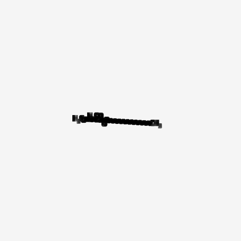 CCCCCCCCCCCCCCCCCCCCCCOC(=O)CCN(CCCOCCOC)C(C)=O